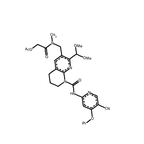 COC(OC)c1nc2c(cc1CN(C)C(=O)COC(C)=O)CCCN2C(=O)Nc1cc(OC(C)C)c(C#N)cn1